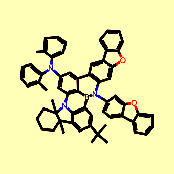 Cc1ccccc1N(c1cc2c3c(c1)N1c4c(cc(C(C)(C)C)cc4C4(C)CCCCC14C)B3N(c1ccc3c(c1)oc1ccccc13)c1cc3oc4ccccc4c3cc1-2)c1ccccc1C